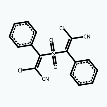 N#CC(Cl)=C(c1ccccc1)S(=O)(=O)C(=C(Cl)C#N)c1ccccc1